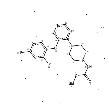 CC(C)(C)OC(=O)NC1CCN(c2ncncc2Oc2ccc(F)cc2Br)CC1